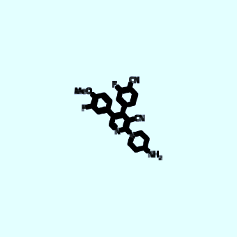 COc1ccc(-c2cnc(N3CCC(N)CC3)c(C#N)c2-c2ccc(C#N)c(F)c2)cc1F